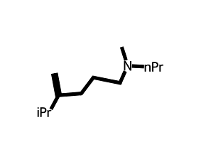 C=C(CCCN(C)CCC)C(C)C